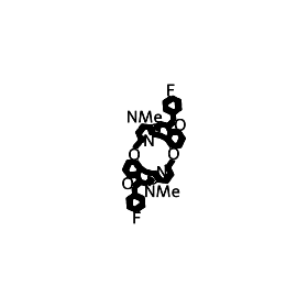 CNC(=O)c1c(-c2ccc(F)cc2)oc2ccc3c(c12)Cc1cccc(n1)COc1ccc2oc(-c4ccc(F)cc4)c(C(=O)NC)c2c1Cc1cccc(n1)CO3